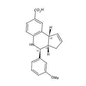 COc1cccc([C@H]2Nc3ccc(C(=O)O)cc3[C@@H]3C=CC[C@H]23)c1